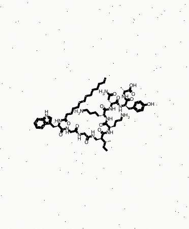 CCCCCCCCCCCCCC(=O)N[C@H](Cc1c[nH]c2ccccc12)C(=O)NCC(=O)NCC(=O)NC[C@@H](C(=O)N[C@H](CCCN)C(=O)N[C@H](CCCCN)C(=O)N[C@H](CC(N)=O)C(=O)N[C@H](Cc1ccc(O)cc1)C(=O)N[C@H](C)C(=O)O)[C@H](C)CC